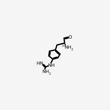 N=C(N)Nc1ccc(C[C@H](N)C=O)cc1